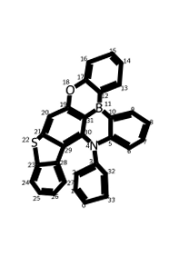 c1ccc(N2c3ccccc3B3c4ccccc4Oc4cc5sc6ccccc6c5c2c43)cc1